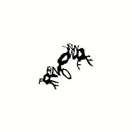 C[C@H]1c2ccc(C(=O)NCc3c(F)cc(F)cc3F)cc2N2Cc3c(ccc(F)c3F)N=C2N1C